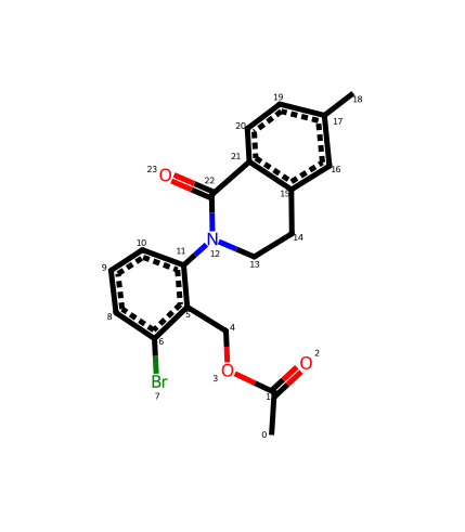 CC(=O)OCc1c(Br)cccc1N1CCc2cc(C)ccc2C1=O